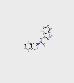 Cc1ccccc1CN(C)C(=O)Cc1c[nH]c2ccccc12